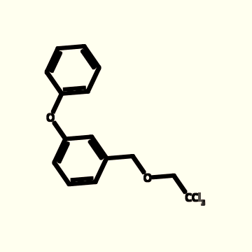 ClC(Cl)(Cl)COCc1cccc(Oc2ccccc2)c1